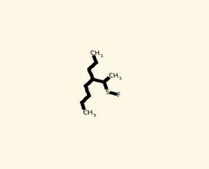 CCCCC(CCC)C(C)SF